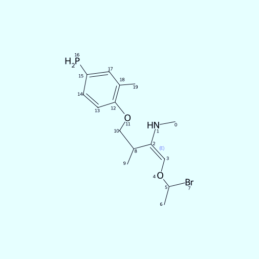 CN/C(=C/OC(C)Br)C(C)COc1ccc(P)cc1C